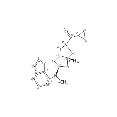 CN(c1ncnc2[nH]ccc12)[C@H]1CC2CN(C(=O)C3CC3)C[C@@H]2C1